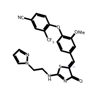 COc1cc(/C=C2\SC(NCCn3cccn3)=NC2=O)ccc1Oc1ccc(C#N)cc1C(F)(F)F